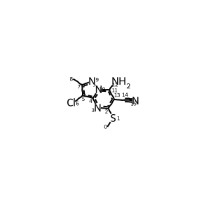 CSc1nc2c(Cl)c(C)nn2c(N)c1C#N